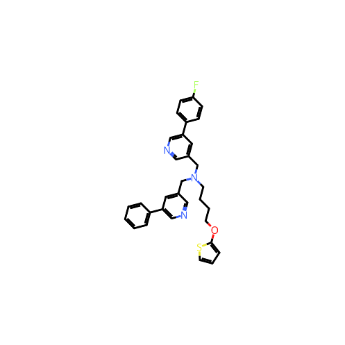 Fc1ccc(-c2cncc(CN(CCCCOc3cccs3)Cc3cncc(-c4ccccc4)c3)c2)cc1